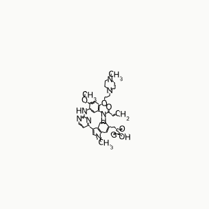 C=CC(=O)Nc1cc(Nc2nccc(-c3cn(C)c4cc(CS(=O)(=O)O)ccc34)n2)c(OC)cc1OCCN1CCN(C)CC1